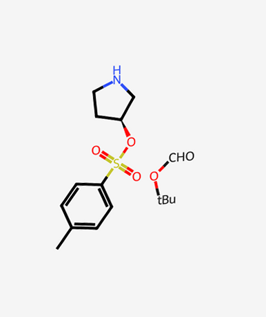 CC(C)(C)OC=O.Cc1ccc(S(=O)(=O)O[C@H]2CCNC2)cc1